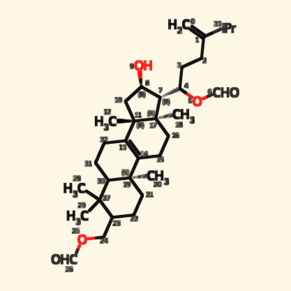 C=C(CCC(OC=O)[C@H]1[C@H](O)C[C@@]2(C)C3=C(CC[C@]12C)[C@@]1(C)CCC(COC=O)C(C)(C)C1CC3)C(C)C